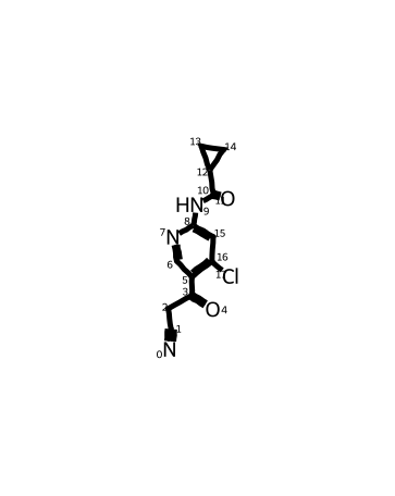 N#CCC(=O)c1cnc(NC(=O)C2CC2)cc1Cl